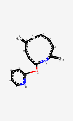 C=c1ccccc(=C)nc(Oc2ccccn2)cc1